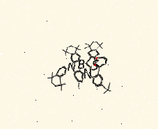 Cc1cc2c3c(c1)N(c1ccc(C(C)(C)C)cc1-c1ccccc1)c1sc4cc5c(cc4c1B3c1cc3c(cc1N2c1ccc2c(c1)C(C)(C)CCC2(C)C)C(C)(C)CCC3(C)C)C(C)(C)CCC5(C)C